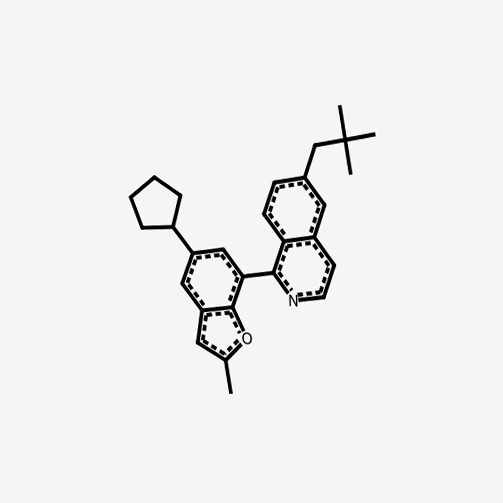 Cc1cc2cc(C3CCCC3)cc(-c3nccc4cc(CC(C)(C)C)ccc34)c2o1